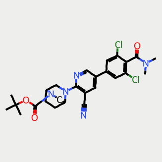 CN(C)C(=O)c1c(Cl)cc(-c2cnc(N3CC4CCC3CN4C(=O)OC(C)(C)C)c(C#N)c2)cc1Cl